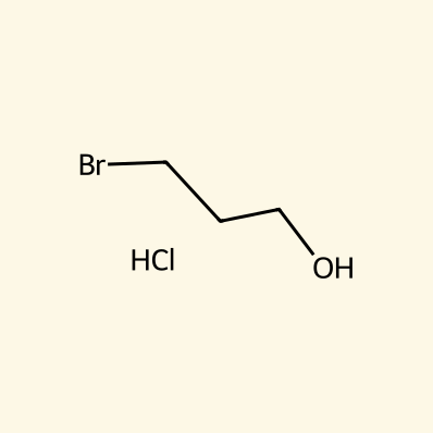 Cl.OCCCBr